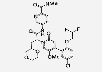 CNC(=O)c1ccc(NC(=O)C(CC2COCCO2)n2cc(OC)c(-c3cc(Cl)ccc3OCC(F)F)cc2=O)cn1